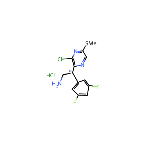 CSc1cnc([C@H](CN)c2cc(F)cc(F)c2)c(Cl)n1.Cl